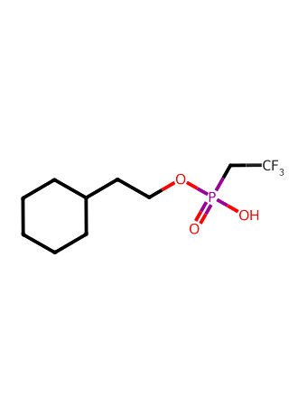 O=P(O)(CC(F)(F)F)OCCC1CCCCC1